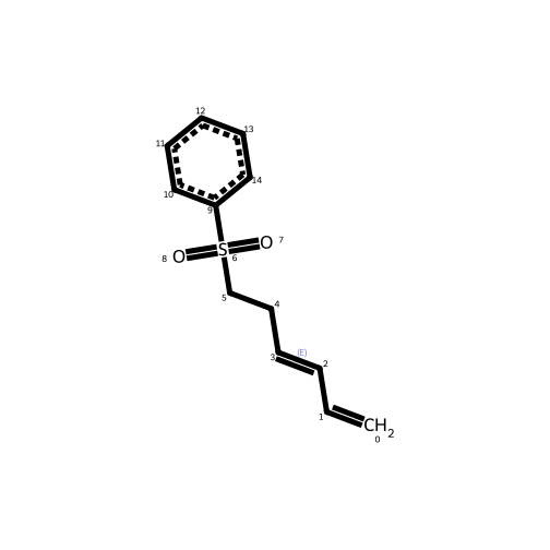 C=C/C=C/CCS(=O)(=O)c1ccccc1